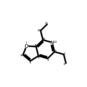 CCc1cc2ccoc2c(CC)n1